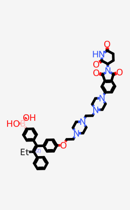 CC/C(=C(/c1ccc(OCCN2CCN(CCN3CCN(c4ccc5c(c4)C(=O)N(C4CCC(=O)NC4=O)C5=O)CC3)CC2)cc1)c1ccc(B(O)O)cc1)c1ccccc1